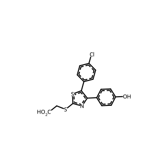 O=C(O)CSc1nc(-c2ccc(O)cc2)c(-c2ccc(Cl)cc2)s1